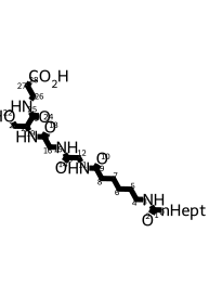 CCCCCCCC(=O)NCCCCCC(=O)NCC(=O)NCC(=O)NC(CO)C(=O)NCCC(=O)O